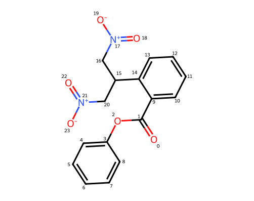 O=C(Oc1ccccc1)c1ccccc1C(C[N+](=O)[O-])C[N+](=O)[O-]